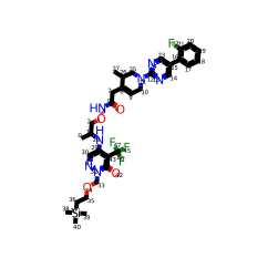 CC(CONC(=O)CC1=CCN(c2ncc(-c3ccccc3F)cn2)CC1C)Nc1cnn(COCC[Si](C)(C)C)c(=O)c1C(F)(F)F